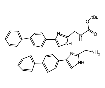 CC(C)(C)OC(=O)NCc1nc(-c2ccc(-c3ccccc3)cc2)c[nH]1.NCc1nc(-c2ccc(-c3ccccc3)cc2)c[nH]1